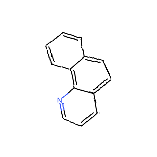 [c]1ccnc2c1ccc1ccccc12